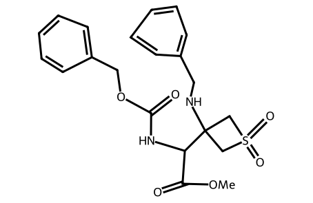 COC(=O)C(NC(=O)OCc1ccccc1)C1(NCc2ccccc2)CS(=O)(=O)C1